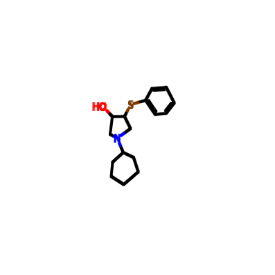 OC1CN(C2CCCCC2)CC1Sc1ccccc1